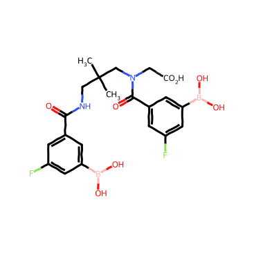 CC(C)(CNC(=O)c1cc(F)cc(B(O)O)c1)CN(CC(=O)O)C(=O)c1cc(F)cc(B(O)O)c1